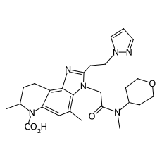 Cc1cc2c(c3nc(CCn4cccn4)n(CC(=O)N(C)C4CCOCC4)c13)CCC(C)N2C(=O)O